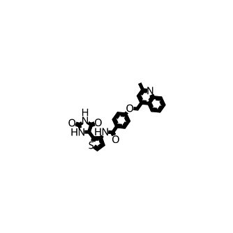 Cc1cc(COc2ccc(C(=O)Nc3ccsc3C3NC(=O)NC3=O)cc2)c2ccccc2n1